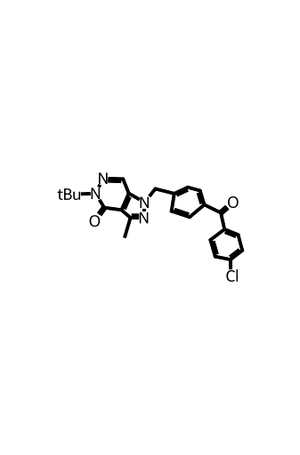 Cc1nn(Cc2ccc(C(=O)c3ccc(Cl)cc3)cc2)c2cnn(C(C)(C)C)c(=O)c12